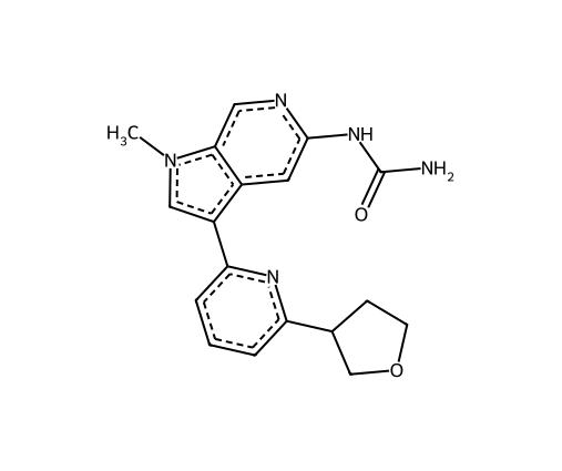 Cn1cc(-c2cccc(C3CCOC3)n2)c2cc(NC(N)=O)ncc21